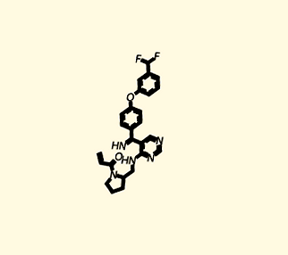 C=CC(=O)N1CCCC1CNc1ncncc1C(=N)c1ccc(Oc2cccc(C(F)F)c2)cc1